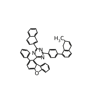 CC1C=Cc2cccc(-c3ccc(-c4nc(-c5ccc6ccccc6c5)nc(-c5c(-c6ccccc6)ccc6oc7ccccc7c56)n4)cc3)c2C1